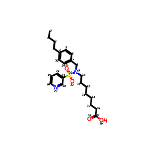 CCCCc1ccc(CN(CCCCCCCC(=O)O)S(=O)(=O)c2cccnc2)cc1